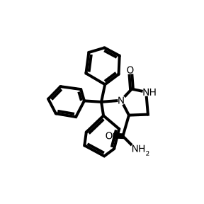 NC(=O)C1CNC(=O)N1C(c1ccccc1)(c1ccccc1)c1ccccc1